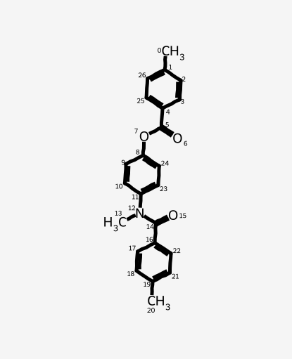 Cc1ccc(C(=O)Oc2ccc(N(C)C(=O)c3ccc(C)cc3)cc2)cc1